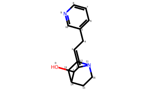 OC1C(=CCc2cccnc2)N2CCC1CC2